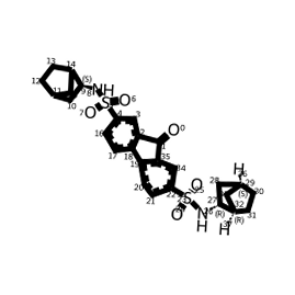 O=C1c2cc(S(=O)(=O)N[C@H]3CC4CCC3C4)ccc2-c2ccc(S(=O)(=O)N[C@@H]3C[C@H]4CC[C@@H]3C4)cc21